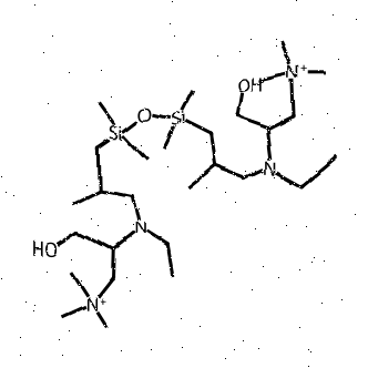 CCN(CC(C)C[Si](C)(C)O[Si](C)(C)CC(C)CN(CC)C(CO)C[N+](C)(C)C)C(CO)C[N+](C)(C)C